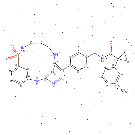 O=C(NCc1ccc(-c2cnc3nc2NCCCNS(=O)(=O)c2cccc(c2)N3)cc1)C1(c2cccc(C(F)(F)F)c2)CC1